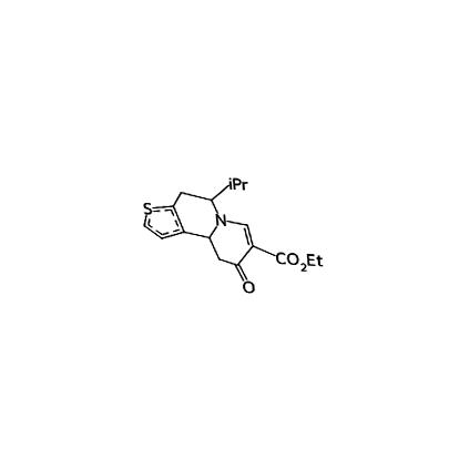 CCOC(=O)C1=CN2C(CC1=O)c1ccsc1CC2C(C)C